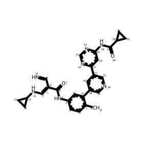 Cc1ccc(NC(=O)/C(C=N)=C/NC2CC2)cc1-c1cncc(-c2cc(NC(=O)C3CC3)ncn2)c1